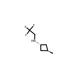 C[C@H]1C[C@H](NCC(F)(F)F)C1